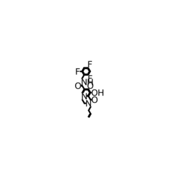 C=CCCN1CCn2cc(C(=O)NCc3c(F)cc(F)cc3F)c(=O)c(O)c2C1=O